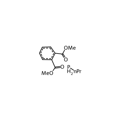 CCCP.COC(=O)c1ccccc1C(=O)OC